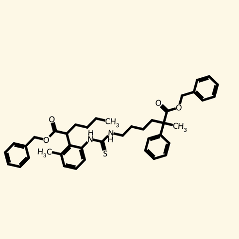 CCCCC(C(=O)OCc1ccccc1)c1c(C)cccc1NC(=S)NCCCCC(C)(C(=O)OCc1ccccc1)c1ccccc1